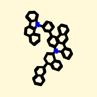 C1=C(N(c2ccc(-c3cccc(-n4c5ccccc5c5ccc6ccccc6c54)c3)cc2)c2ccccc2-c2ccc3ccccc3c2)c2ccccc2C(c2ccc3ccccc3c2)C1